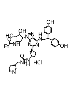 CCC(=O)N[C@H]1C[C@@H](n2cnc3c(NCC(c4ccc(O)cc4)c4ccc(O)cc4)nc(N4CC[C@@H](NC(=O)NCc5cccnc5)C4)nc32)[C@H](O)[C@@H]1O.Cl